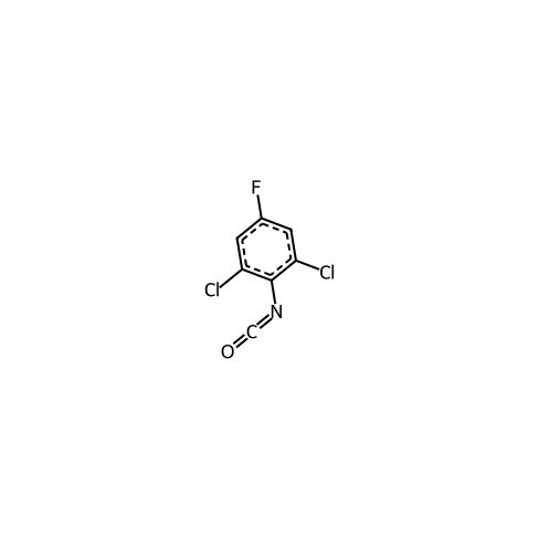 O=C=Nc1c(Cl)cc(F)cc1Cl